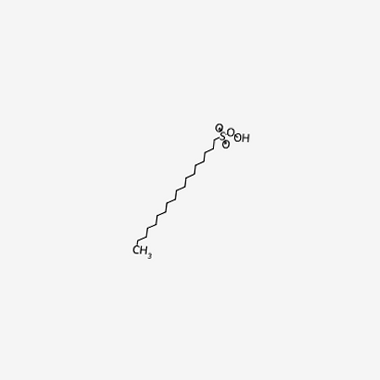 CCCCCCCCCCCCCCCCCCS(=O)(=O)OO